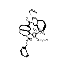 CCOC(=O)c1cc(C2c3cc(C(=O)N4Cc5ccccc5C[C@H]4COC)ccc3CCN2C(=O)OCc2ccccc2)n(C)c1C